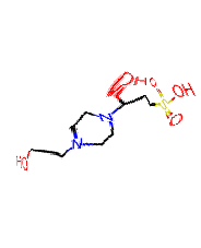 O=S(=O)(O)CC(O)N1CCN(CCO)CC1